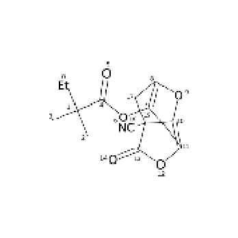 CCC(C)(C)C(=O)Oc1c2oc3c1OC(=O)C3(C#N)C2